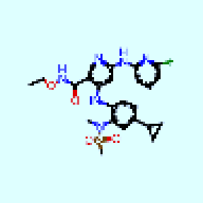 CCONC(=O)c1cnc(Nc2cccc(F)n2)cc1Nc1ccc(C2CC2)cc1N(C)S(C)(=O)=O